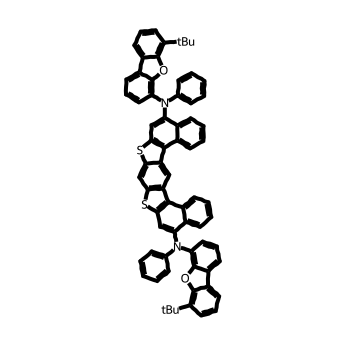 CC(C)(C)c1cccc2c1oc1c(N(c3ccccc3)c3cc4sc5cc6sc7cc(N(c8ccccc8)c8cccc9c8oc8c(C(C)(C)C)cccc89)c8ccccc8c7c6cc5c4c4ccccc34)cccc12